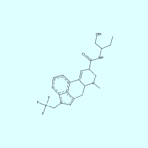 CCC(CO)NC(=O)C1C=C2c3cccc4c3c(cn4CC(F)(F)F)CC2N(C)C1